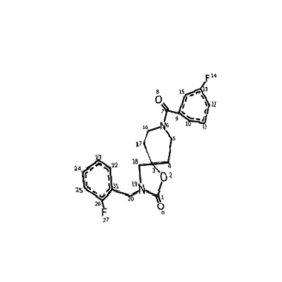 O=C1OC2(CCN(C(=O)c3cccc(F)c3)CC2)CN1Cc1ccccc1F